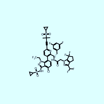 CC(C)(C#Cc1ccc(-c2ccc(Cl)c3c(NS(=O)(=O)C4CC4)nn(CC(F)(F)F)c23)c([C@H](Cc2cc(F)cc(F)c2)NC(=O)Cn2nc(C(F)F)c3c2C(F)(F)CC3)n1)S(=O)(=O)C1CC1